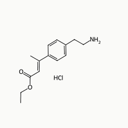 CCOC(=O)C=C(C)c1ccc(CCN)cc1.Cl